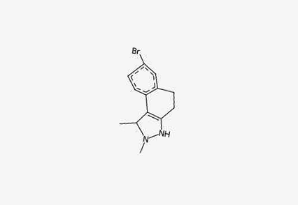 CC1C2=C(CCc3cc(Br)ccc32)NN1C